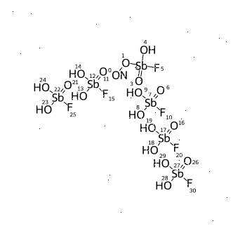 O=N[O][Sb](=[O])([OH])[F].[O]=[Sb]([OH])([OH])[F].[O]=[Sb]([OH])([OH])[F].[O]=[Sb]([OH])([OH])[F].[O]=[Sb]([OH])([OH])[F].[O]=[Sb]([OH])([OH])[F]